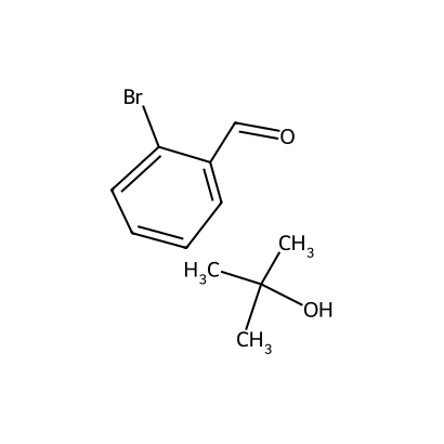 CC(C)(C)O.O=Cc1ccccc1Br